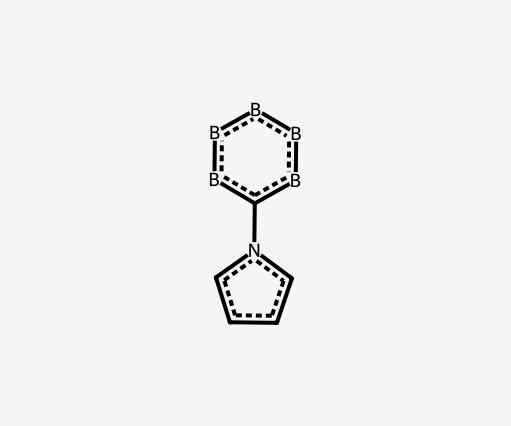 b1bbc(-n2cccc2)bb1